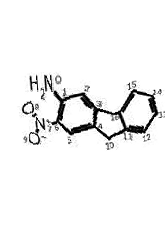 Nc1cc2c(cc1[N+](=O)[O-])Cc1ccccc1-2